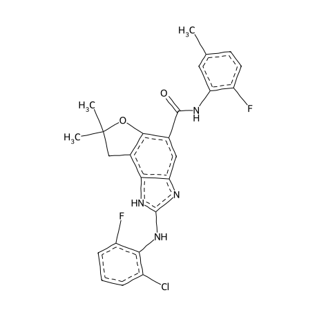 Cc1ccc(F)c(NC(=O)c2cc3nc(Nc4c(F)cccc4Cl)[nH]c3c3c2OC(C)(C)C3)c1